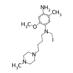 COc1cc(N)c(C)cc1N(CI)CCCCN1CCN(C)CC1